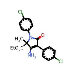 CCOC(=O)C1(C)C(N)=C(c2ccc(Cl)cc2)C(=O)N1c1ccc(Cl)cc1